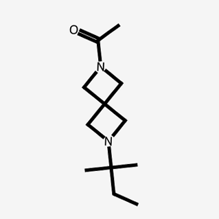 CCC(C)(C)N1CC2(CN(C(C)=O)C2)C1